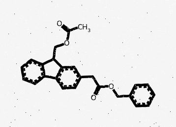 CC(=O)OCC1c2ccccc2-c2ccc(CC(=O)OCc3ccccc3)cc21